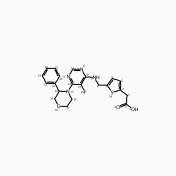 O=C(O)Cc1ccc(CNc2ncnc(N3CCOCC3c3ccccc3)c2F)s1